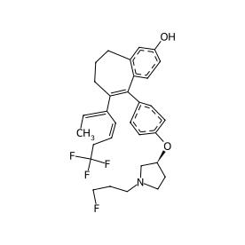 C/C=C(\C=C/CC(F)(F)F)C1=C(c2ccc(O[C@H]3CCN(CCCF)C3)cc2)c2ccc(O)cc2CCC1